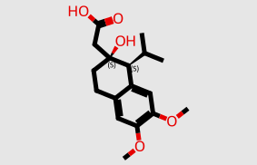 COc1cc2c(cc1OC)[C@H](C(C)C)[C@@](O)(CC(=O)O)CC2